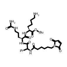 CC(C)C(NC(=O)CCCCCN1C(=O)C=CC1=O)C(=O)N[C@@H](CCCNC(N)=O)C(=O)N[C@@H](CCCCN)C(=O)OC(C)(C)C